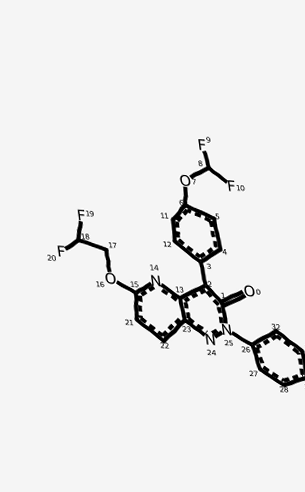 O=c1c(-c2ccc(OC(F)F)cc2)c2nc(OCC(F)F)ccc2nn1-c1ccc(Cl)cc1